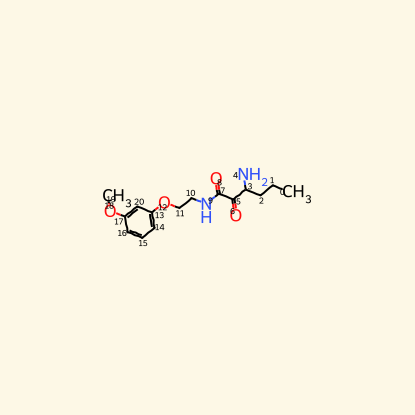 CCCC(N)C(=O)C(=O)NCCOc1cccc(OC)c1